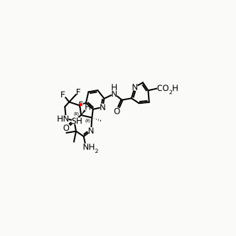 CC1(C)C(N)=N[C@](C)(c2nc(NC(=O)c3ccc(C(=O)O)cn3)ccc2F)[C@H]2CC(F)(F)CN[SH]21=O